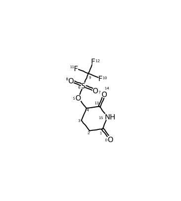 O=C1CCC(OS(=O)(=O)C(F)(F)F)C(=O)N1